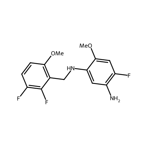 COc1cc(F)c(N)cc1NCc1c(OC)ccc(F)c1F